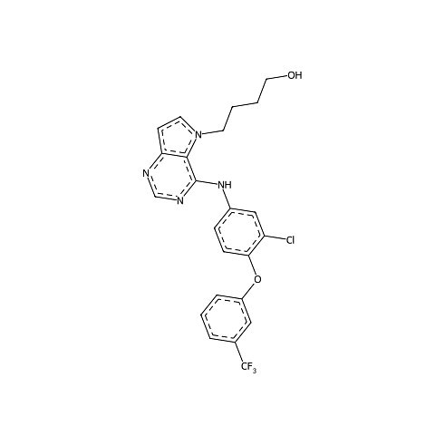 OCCCCn1ccc2ncnc(Nc3ccc(Oc4cccc(C(F)(F)F)c4)c(Cl)c3)c21